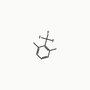 Cc1[c]ccc(C)c1C(F)(F)F